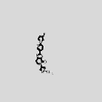 Cn1cc(N2CCc3nc(-c4ccc(N5CCC(F)C5)nc4)sc3C2=O)cn1